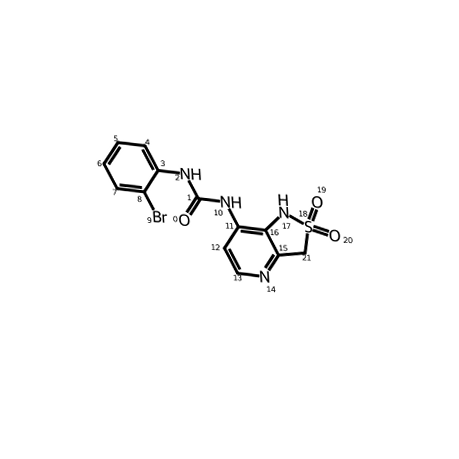 O=C(Nc1ccccc1Br)Nc1ccnc2c1NS(=O)(=O)C2